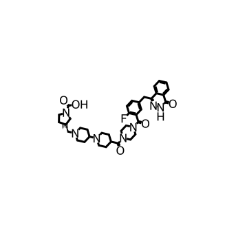 O=C(O)N1CC[C@H](CN2CCC(N3CCC(C(=O)N4CCN(C(=O)c5cc(Cc6n[nH]c(=O)c7ccccc67)ccc5F)CC4)CC3)CC2)C1